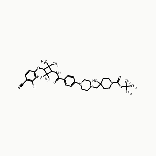 CC(C)(C)OC(=O)N1CCC(O)(CN2CCN(c3ccc(C(=O)NC4C(C)(C)C(Oc5ccc(C#N)c(Cl)c5)C4(C)C)cc3)CC2)CC1